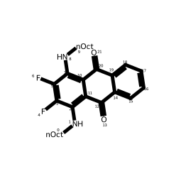 CCCCCCCCNc1c(F)c(F)c(NCCCCCCCC)c2c1C(=O)c1ccccc1C2=O